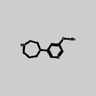 CCCCOc1cncc(N2CCCNCC2)c1